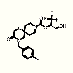 O=C1COC2(CCN(C(=O)O[C@H](CO)C(F)(F)F)CC2)CN1Cc1ccc(F)cc1